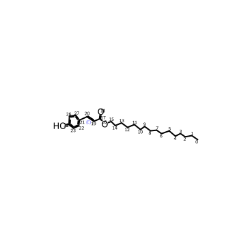 CCCCCCCCCCCCCCCCOC(=O)/C=C/c1ccc(O)cc1